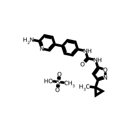 CC1(c2cc(NC(=O)Nc3ccc(-c4ccc(N)nc4)cc3)on2)CC1.CS(=O)(=O)O